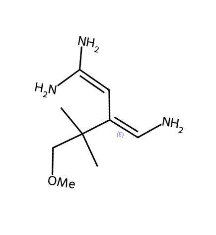 COCC(C)(C)/C(C=C(N)N)=C/N